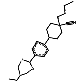 CCCCC1(C#N)CCC(c2ccc(C3SCC(CC)CS3)cc2)CC1